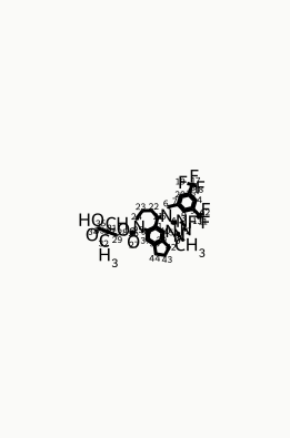 Cn1nnc(N(Cc2cc(C(F)(F)F)cc(C(F)(F)F)c2)C2CCCN(C(=O)OCC(C)(C)C(=O)O)c3cc4c(cc32)CCC4)n1